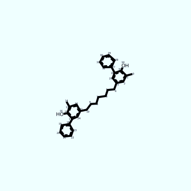 Cc1cc(CCCCCCCc2cc(C)c(O)c(-c3ccccc3)c2)cc(-c2ccccc2)c1O